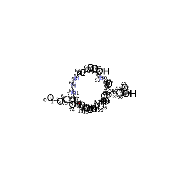 COCCOc1ccc(C2C[C@@H]3CC[C@@H](C)[C@@](O)(O3)C(=O)C(=O)N3CCCC[C@H]3C(=O)O[C@H]([C@H](C)C[C@@H]3CC[C@@H](O)[C@H](OC)C3)CC(=O)[C@H](C)/C=C(\C)[C@H](O)[C@@H](OC)C(=O)[C@H](C)C[C@H](C)/C=C/C=C/C=C/2C)c(OC)c1